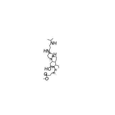 COC(=O)CC[C@@H](C)[C@H]1CCC2C3CC[C@@H]4C[C@@H](NCCNC(C)C)CC[C@]4(C)C3C[C@H](O)[C@@]21C